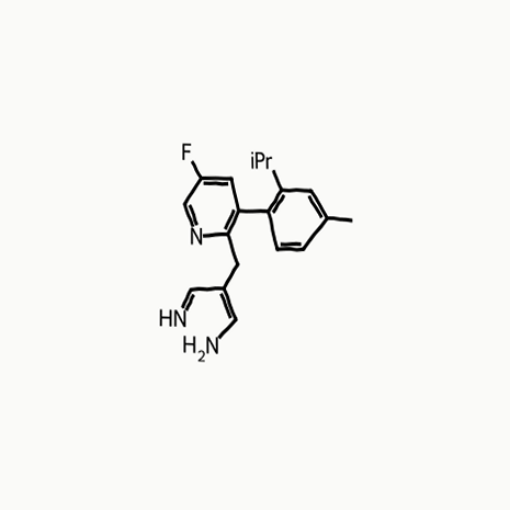 Cc1ccc(-c2cc(F)cnc2C/C(C=N)=C/N)c(C(C)C)c1